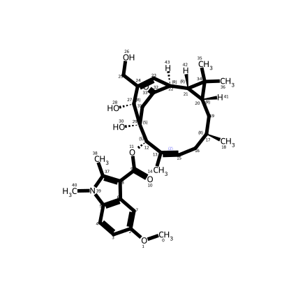 COc1ccc2c(c1)c(C(=O)O[C@H]1/C(C)=C\C[C@H](C)C[C@@H]3[C@H]([C@@H]4C=C(CO)[C@@H](O)[C@@]1(O)CC4=O)C3(C)C)c(C)n2C